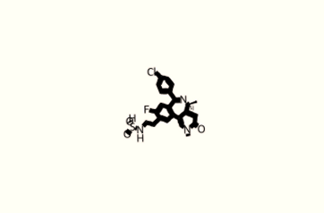 C[C@@H]1N=C(c2ccc(Cl)cc2)c2cc(F)c(CCN[SH](=O)=O)cc2-c2cn(C)c(=O)cc21